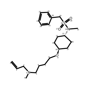 C=CCN(C)CCCCO[C@H]1CC[C@H](N(C)S(=O)(=O)Cc2ccccc2)CC1